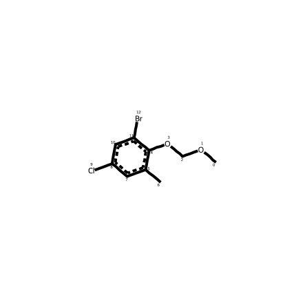 COCOc1c(C)cc(Cl)cc1Br